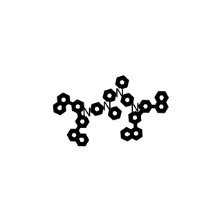 c1ccc(N(c2ccc(-n3c4ccc(-c5cccc6ccccc56)cc4c4cc(-c5cccc6ccccc56)ccc43)cc2)c2cccc(N(c3ccccc3)c3ccc(-n4c5ccc(-c6cccc7ccccc67)cc5c5cc(-c6cccc7ccccc67)ccc54)cc3)c2)cc1